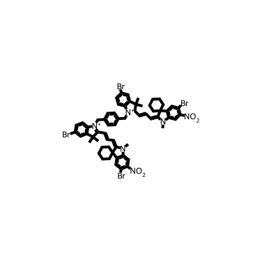 CN1/C(=C/C=C/C2=[N+](Cc3ccc(C[N+]4=C(/C=C/C=C5/N(C)c6cc([N+](=O)[O-])c(Br)cc6C56CCCCC6)C(C)(C)c5cc(Br)ccc54)cc3)c3ccc(Br)cc3C2(C)C)C2(CCCCC2)c2cc(Br)c([N+](=O)[O-])cc21